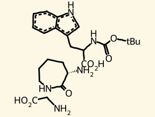 CC(C)(C)OC(=O)NC(Cc1c[nH]c2ccccc12)C(=O)O.NCC(=O)O.N[C@H]1CCCCNC1=O